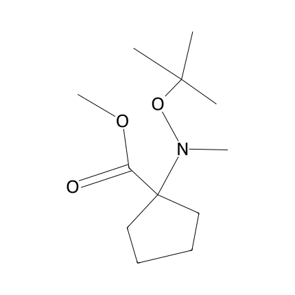 COC(=O)C1(N(C)OC(C)(C)C)CCCC1